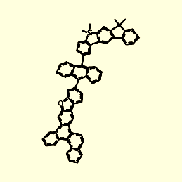 CC1(C)c2ccccc2-c2cc3c(cc21)[Si](C)(C)c1ccc(-c2c4ccccc4c(-c4ccc5c(c4)oc4cc6c7ccccc7c7c8ccccc8ccc7c6cc45)c4ccccc24)cc1-3